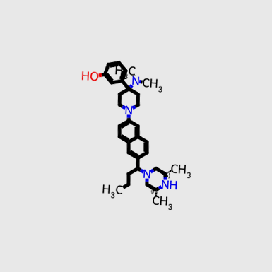 CCCC(c1ccc2cc(N3CCC(c4cccc(O)c4)(N(C)C)CC3)ccc2c1)N1C[C@@H](C)N[C@@H](C)C1